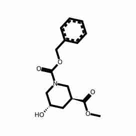 COC(=O)[C@H]1C[C@H](O)CN(C(=O)OCc2ccccc2)C1